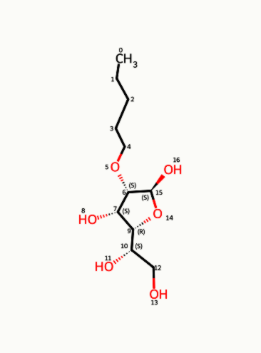 CCCCCO[C@H]1[C@@H](O)[C@@H]([C@@H](O)CO)O[C@@H]1O